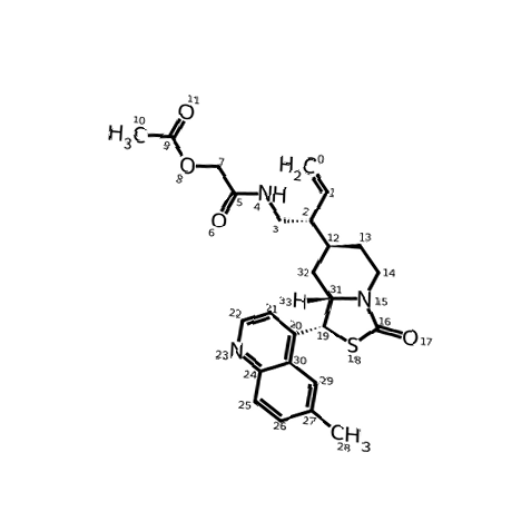 C=C[C@@H](CNC(=O)COC(C)=O)[C@H]1CCN2C(=O)S[C@H](c3ccnc4ccc(C)cc34)[C@@H]2C1